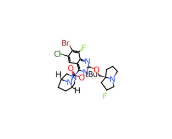 CC(C)(C)OC(=O)N1[C@H]2CC[C@H]1CN(c1nc(OC[C@@]34CCCN3C[C@H](F)C4)nc3c(F)c(Br)c(Cl)cc13)C2